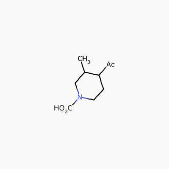 CC(=O)C1CCN(C(=O)O)CC1C